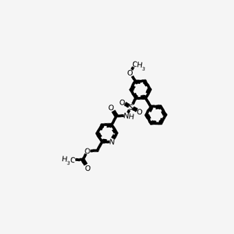 COc1ccc(-c2ccccc2)c(S(=O)(=O)NC(=O)c2ccc(COC(C)=O)nc2)c1